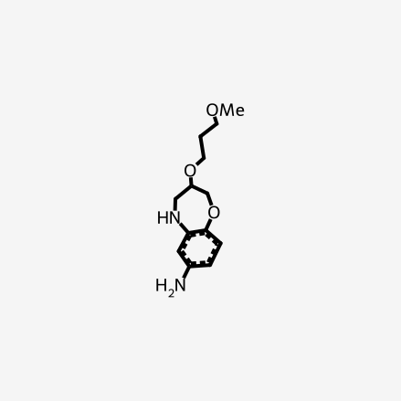 COCCCOC1CNc2cc(N)ccc2OC1